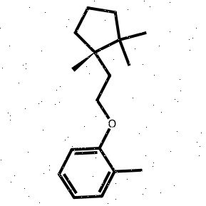 Cc1ccccc1OCC[C@]1(C)CCCC1(C)C